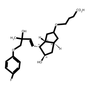 CC(O)(C=C[C@@H]1[C@@H]2CC(OCCCC(=O)O)C[C@H]2C[C@H]1O)COc1ccc(F)cc1